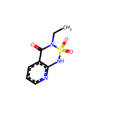 CCN1C(=O)c2cccnc2NS1(=O)=O